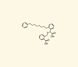 O=C(O)c1ccccc1CSC(C(=O)O)c1ccccc1CCCCCCCCc1ccccc1